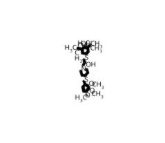 COc1ccc(CSC2CCN(CC(O)CSc3cc(C(C)(C)C)c(O)c(C(C)(C)C)c3)CC2)c(OC)c1OC